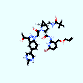 C=CCOCc1ccc(Br)nc1NC(=O)[C@@H]1C[C@@]2(CNC(=O)C(C)(C)C)C[C@H]2N1C(=O)Cn1nc(C(C)=O)c2cc(-c3cnc(C)nc3)ccc21